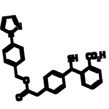 O=C(Cc1ccc(C(S)c2ccccc2C(=O)O)cc1)OCc1ccc(-n2cccn2)cc1